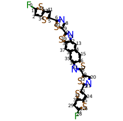 Fc1cc2sc(-c3ncc(-c4nc5cc6cc7sc(-c8cnc(-c9cc%10sc(F)cc%10s9)s8)nc7cc6cc5s4)s3)cc2s1